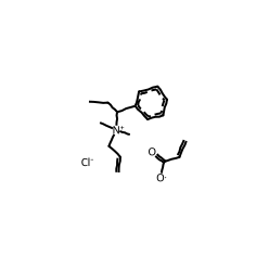 C=CC([O])=O.C=CC[N+](C)(C)C(CC)c1ccccc1.[Cl-]